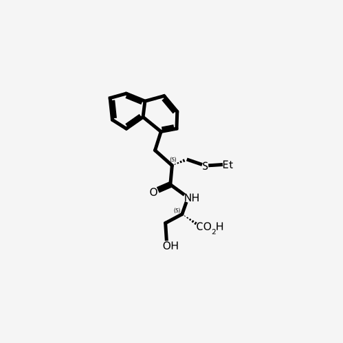 CCSC[C@@H](Cc1cccc2ccccc12)C(=O)N[C@@H](CO)C(=O)O